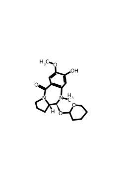 COc1cc2c(cc1O)N(C)[C@@H](OC1CCCCO1)[C@@H]1CCCN1C2=O